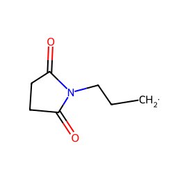 [CH2]CCN1C(=O)CCC1=O